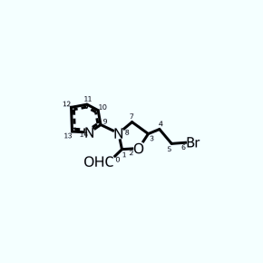 O=CC1OC(CCBr)CN1c1ccccn1